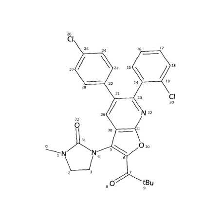 CN1CCN(c2c(C(=O)C(C)(C)C)oc3nc(-c4ccccc4Cl)c(-c4ccc(Cl)cc4)cc23)C1=O